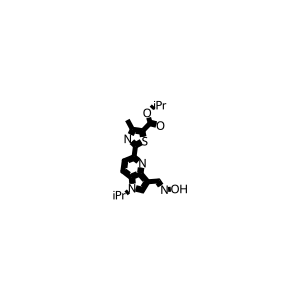 Cc1nc(-c2ccc3c(n2)c(C=NO)cn3C(C)C)sc1C(=O)OC(C)C